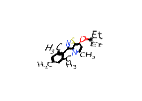 CCC(CC)Oc1cc(C)nc2c(-c3c(C)cc(C)cc3C)nsc12